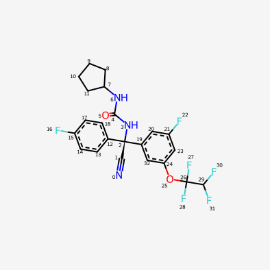 N#C[C@](NC(=O)NC1CCCC1)(c1ccc(F)cc1)c1cc(F)cc(OC(F)(F)C(F)F)c1